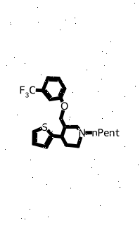 CCCCCN1CCC(c2cccs2)C(COc2cccc(C(F)(F)F)c2)C1